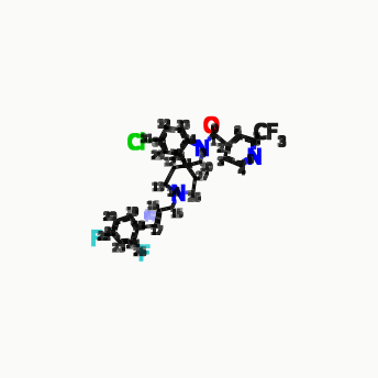 O=C(c1ccnc(C(F)(F)F)c1)N1CC2(CCN(C/C=C/c3ccc(F)cc3F)CC2)c2cc(Cl)ccc21